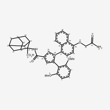 COc1cccc(OC)c1-c1cc(C(=O)NC2(C(=O)O)C3CC4CC(C3)CC2C4)nn1-c1ccc(OCC(N)=O)c2ccccc12